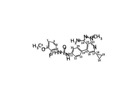 COc1cccc(NC(=O)Nc2ccc(-c3cc(C4CC4)nc4c3c(N)nn4C)cc2)c1F